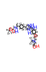 C=C(NCC(=O)OC(C)(C)C)c1ccc(C2CNC(Nc3ccc(OCCN(CCO)C(C)C)cc3)NC2)cc1